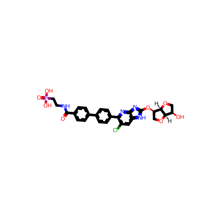 O=C(NCCP(=O)(O)O)c1ccc(-c2ccc(-c3nc4nc(O[C@@H]5CO[C@H]6[C@@H]5OC[C@H]6O)[nH]c4cc3Cl)cc2)cc1